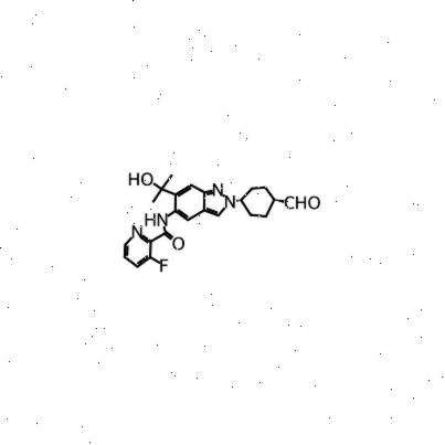 CC(C)(O)c1cc2nn([C@H]3CC[C@H](C=O)CC3)cc2cc1NC(=O)c1ncccc1F